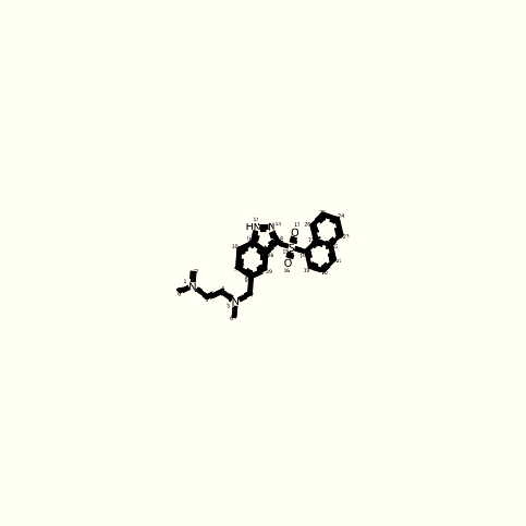 CN(C)CCN(C)Cc1ccc2[nH]nc(S(=O)(=O)c3cccc4ccccc34)c2c1